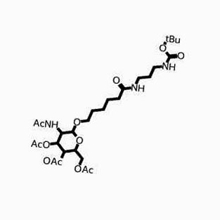 CC(=O)NC1C(OCCCCCC(=O)NCCCNC(=O)OC(C)(C)C)OC(COC(C)=O)C(OC(C)=O)C1OC(C)=O